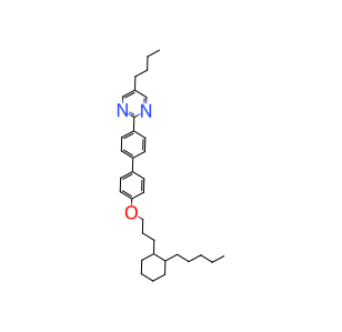 CCCCCC1CCCCC1CCCOc1ccc(-c2ccc(-c3ncc(CCCC)cn3)cc2)cc1